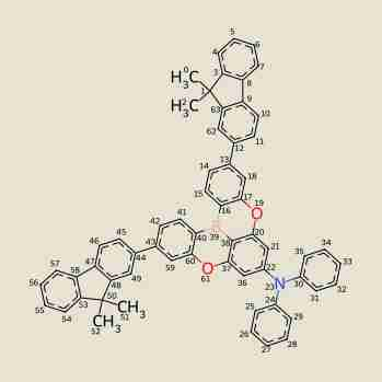 CC1(C)c2ccccc2-c2ccc(-c3ccc4c(c3)Oc3cc(N(c5ccccc5)c5ccccc5)cc5c3B4c3ccc(-c4ccc6c(c4)C(C)(C)c4ccccc4-6)cc3O5)cc21